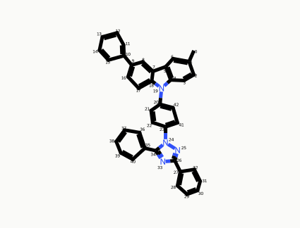 Cc1ccc2c(c1)c1cc(-c3ccccc3)ccc1n2-c1ccc(-n2nc(-c3ccccc3)nc2-c2ccccc2)cc1